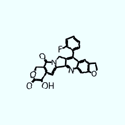 O=C1OCc2c(cc3n(c2=O)Cc2c-3nc3cc4c(cc3c2-c2ccccc2F)CCO4)C1O